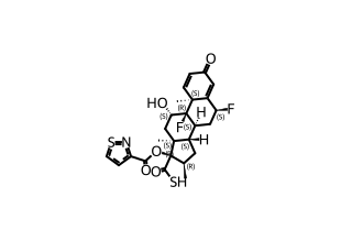 C[C@@H]1C[C@H]2[C@@H]3C[C@H](F)C4=CC(=O)C=C[C@]4(C)[C@@]3(F)[C@@H](O)C[C@]2(C)[C@@]1(OC(=O)c1ccsn1)C(=O)S